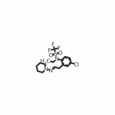 CCN(c1ccc(Cl)cc1CC=NN1CCCCC1)S(=O)(=O)C(F)(F)F